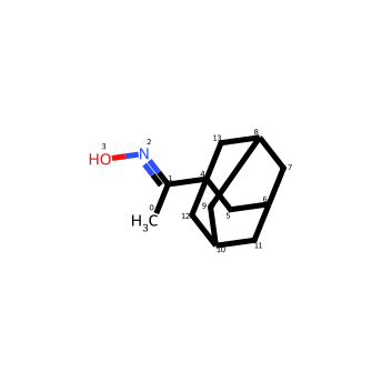 C/C(=N\O)C12CC3CC(CC(C3)C1)C2